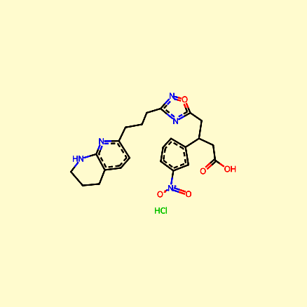 Cl.O=C(O)CC(Cc1nc(CCCc2ccc3c(n2)NCCC3)no1)c1cccc([N+](=O)[O-])c1